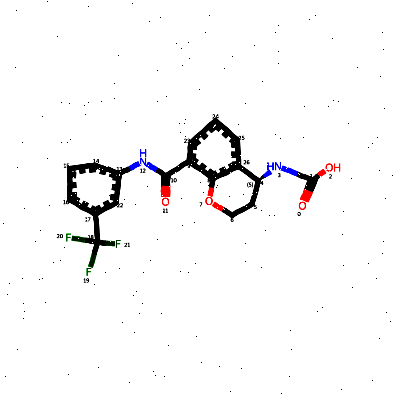 O=C(O)N[C@H]1CCOc2c(C(=O)Nc3cccc(C(F)(F)F)c3)cccc21